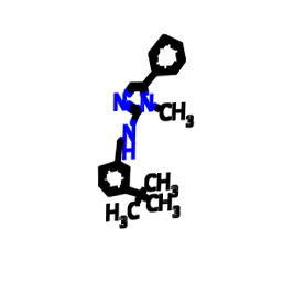 Cn1c(-c2ccccc2)cnc1NCc1cccc(C(C)(C)C)c1